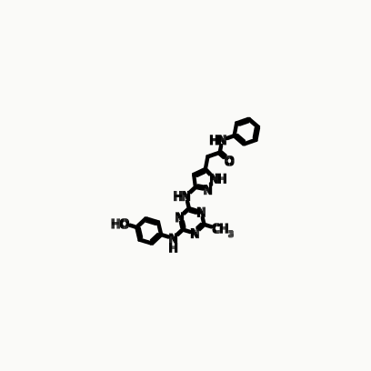 Cc1nc(Nc2ccc(O)cc2)nc(Nc2cc(CC(=O)Nc3ccccc3)[nH]n2)n1